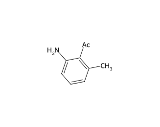 CC(=O)c1c(C)cccc1N